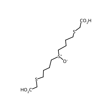 O=C(O)CSCCCC[S+]([O-])CCCCSCC(=O)O